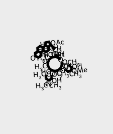 C#C[C@]1(OC(C)=O)CC[C@H]2[C@@H]3CCC4=CC(=O)CC[C@@H]4[C@H]3CC[C@@]21C.CC[C@H]1OC(=O)[C@H](C)[C@@H](O[C@H]2C[C@@](C)(OC)[C@@H](O)[C@H](C)O2)[C@H](C)[C@@H](O[C@@H]2O[C@H](C)C[C@H](N(C)C)[C@H]2O)[C@](C)(O)C[C@@H](C)C(=O)[C@H](C)[C@@H](O)[C@]1(C)O